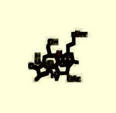 CCCCCCCCCCCCCC(=O)O[C@@]12[C@H](OC(C)=O)[C@@H](C)[C@@]3(O)[C@@H](C=C(CO)C[C@]4(O)C(=O)C(C)=C[C@@H]34)[C@H]1C2(C)C